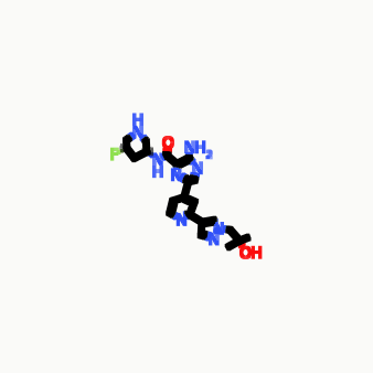 CC(C)(O)Cn1cc(-c2cc(-c3cnc(N)c(C(=O)N[C@@H]4CNC[C@@H](F)C4)n3)ccn2)cn1